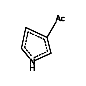 [CH2]C(=O)c1cc[nH]c1